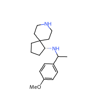 COc1ccc(C(C)N[C@@H]2CCCC23CCNCC3)cc1